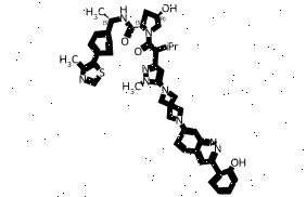 Cc1ncsc1-c1ccc([C@H](C)NC(=O)[C@@H]2C[C@@H](O)CN2C(=O)C(c2cc(N3CC4(CN(c5ccc6cc(-c7ccccc7O)nnc6c5)C4)C3)n(C)n2)C(C)C)cc1